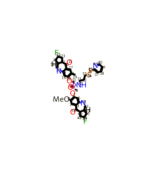 COc1cc2c(cc1OCP(=O)(COc1cc3c(cc1C)C(=O)C1C[C@@H](F)C[C@H]1C=N3)NCCCSSc1ccccn1)N=C[C@@H]1C[C@H](F)CC1C2=O